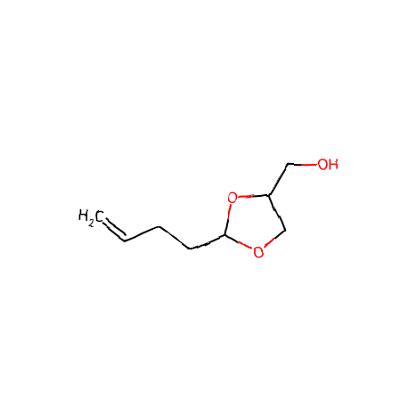 C=CCCC1OCC(CO)O1